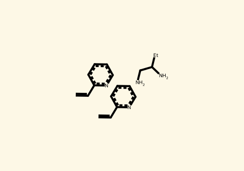 C=Cc1ccccn1.C=Cc1ccccn1.CCC(N)CN